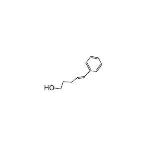 OCCC/C=C/c1ccccc1